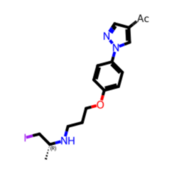 CC(=O)c1cnn(-c2ccc(OCCCN[C@H](C)CI)cc2)c1